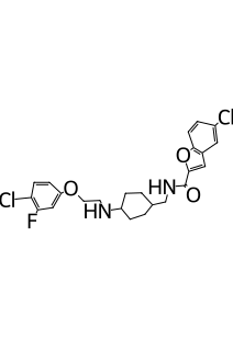 O=C(NCC1CCC(NCCOc2ccc(Cl)c(F)c2)CC1)c1cc2cc(Cl)ccc2o1